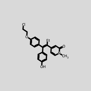 CCC(=C(c1ccc(O)cc1)c1ccc(OCCCl)cc1)c1ccn(C)c(=O)c1